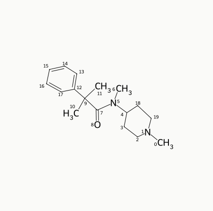 CN1CCC(N(C)C(=O)C(C)(C)c2ccccc2)CC1